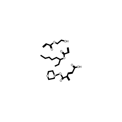 C=C(C=CC(=O)O)C(=O)ON1CCOCC1.C=CC(=O)OC(CC)CCCCC.C=CC(=O)OCCO